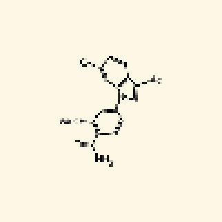 COc1cc(-n2cc(C(C)=O)c3ccc(Cl)cc32)ccc1C(N)=O